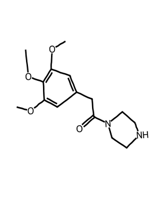 COc1cc(CC(=O)N2CCNCC2)cc(OC)c1OC